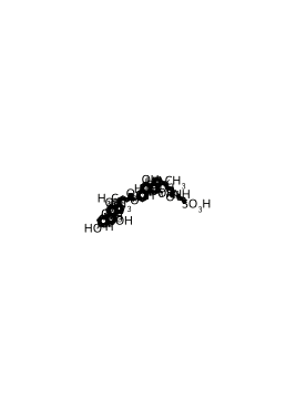 C[C@H](CCC(=O)O[C@@H]1CC[C@@]2(C)[C@@H](C1)C[C@H](O)[C@@H]1[C@@H]2C[C@H](O)[C@]2(C)C([C@H](C)CCC(=O)NCCS(=O)(=O)O)CC[C@@H]12)C1CC[C@H]2[C@@H]3[C@H](O)C[C@@H]4C[C@H](O)CC[C@]4(C)[C@H]3C[C@H](O)[C@]12C